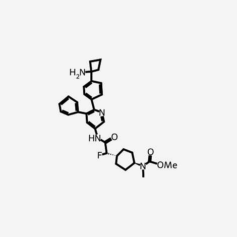 COC(=O)N(C)[C@H]1CC[C@H](C(F)C(=O)Nc2cnc(-c3ccc(C4(N)CCC4)cc3)c(-c3ccccc3)c2)CC1